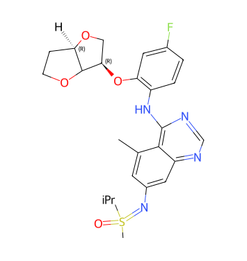 Cc1cc(N=S(C)(=O)C(C)C)cc2ncnc(Nc3ccc(F)cc3O[C@@H]3CO[C@@H]4CCOC43)c12